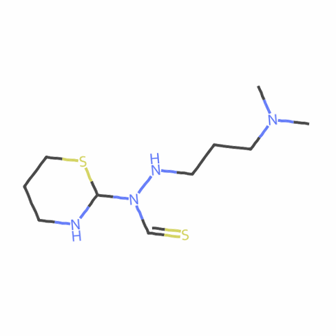 CN(C)CCCNN(C=S)C1NCCCS1